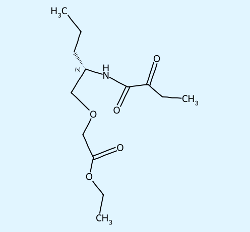 CCC[C@@H](COCC(=O)OCC)NC(=O)C(=O)CC